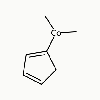 [CH3][Co]([CH3])[C]1=CC=CC1